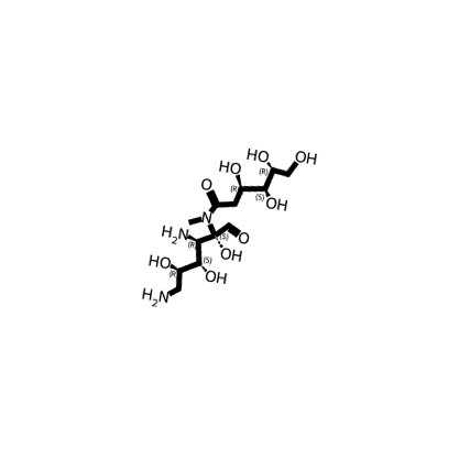 CN(C(=O)C[C@@H](O)[C@H](O)[C@H](O)CO)[C@@](O)(C=O)[C@H](N)[C@H](O)[C@H](O)CN